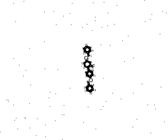 FC1=C(c2ccc(OCc3ccccc3)cc2)CCC(OCc2ccccc2)C1